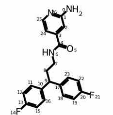 Nc1cc(C(=O)NCCC(c2ccc(F)cc2)c2ccc(F)cc2)ccn1